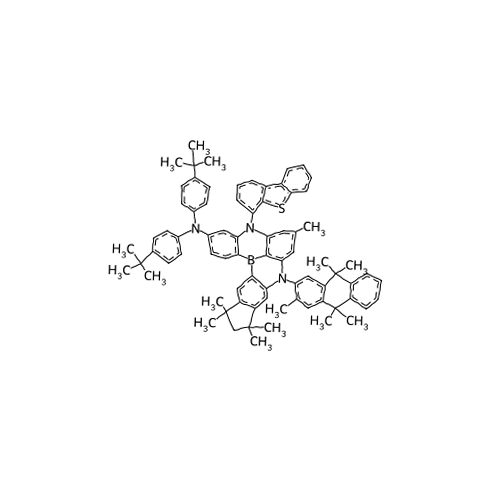 Cc1cc2c3c(c1)N(c1cccc4c1sc1ccccc14)c1cc(N(c4ccc(C(C)(C)C)cc4)c4ccc(C(C)(C)C)cc4)ccc1B3c1cc3c(cc1N2c1cc2c(cc1C)C(C)(C)c1ccccc1C2(C)C)C(C)(C)CC3(C)C